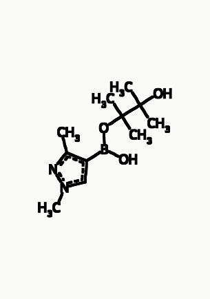 Cc1nn(C)cc1B(O)OC(C)(C)C(C)(C)O